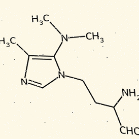 Cc1ncn(CCC(N)C=O)c1N(C)C